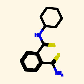 NC(=S)c1ccccc1C(=S)NC1CCCCC1